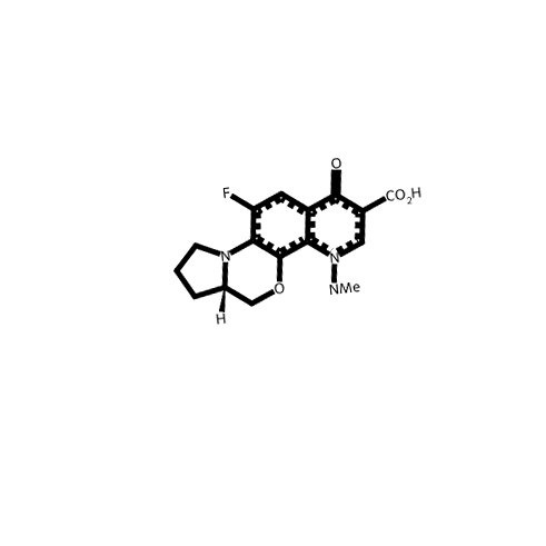 CNn1cc(C(=O)O)c(=O)c2cc(F)c3c(c21)OC[C@@H]1CCCN31